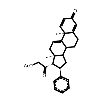 CC(=O)OCC(=O)[C@H]1[C@H](c2ccccc2)CC2C3CCC4=CC(=O)C=C[C@]4(C)C3=CC[C@@]21C